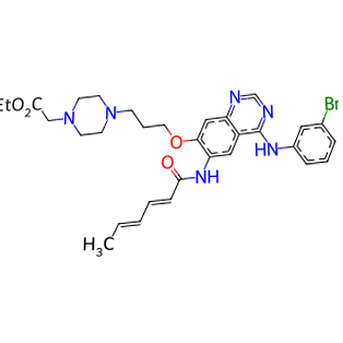 CC=CC=CC(=O)Nc1cc2c(Nc3cccc(Br)c3)ncnc2cc1OCCCN1CCN(CC(=O)OCC)CC1